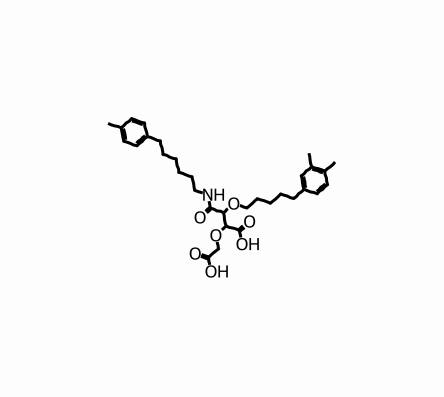 Cc1ccc(CCCCCCNC(=O)C(OCCCCCc2ccc(C)c(C)c2)C(OCC(=O)O)C(=O)O)cc1